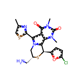 Cc1csc(-c2c3c(=O)n(C)c(=O)n(C)c3c3n2C[C@@H](CN)S[C@@H]3c2ccc(Cl)o2)n1